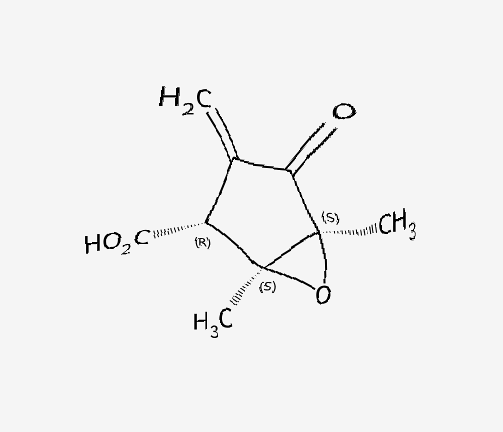 C=C1C(=O)[C@@]2(C)O[C@@]2(C)[C@@H]1C(=O)O